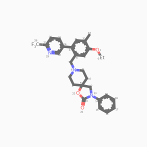 CCOc1cc(CN2CCC3(CC2)CN(c2ccccc2)C(=O)O3)c(-c2ccc(C(F)(F)F)nc2)cc1C